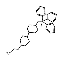 CCCC1CCC(C2CCC(CP(I)(c3ccccc3)(c3ccccc3)c3ccccc3)CC2)CC1